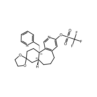 O=S(=O)(Oc1cc2c(cn1)[C@]1(Cc3ccccn3)CCC3(C[C@H]1CCC2)OCCO3)C(F)(F)F